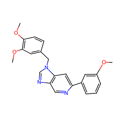 COc1cccc(-c2cc3c(cn2)ncn3Cc2ccc(OC)c(OC)c2)c1